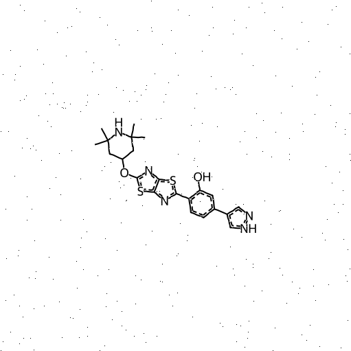 CC1(C)CC(Oc2nc3sc(-c4ccc(-c5cn[nH]c5)cc4O)nc3s2)CC(C)(C)N1